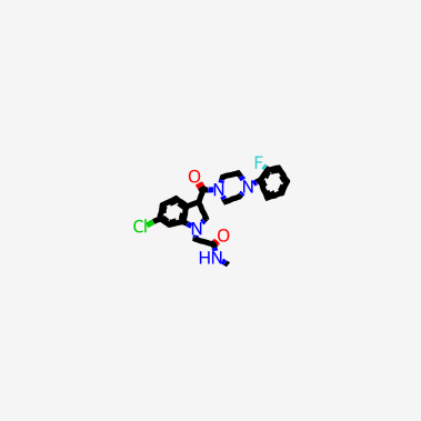 CNC(=O)CN1CC(C(=O)N2CCN(c3ccccc3F)CC2)c2ccc(Cl)cc21